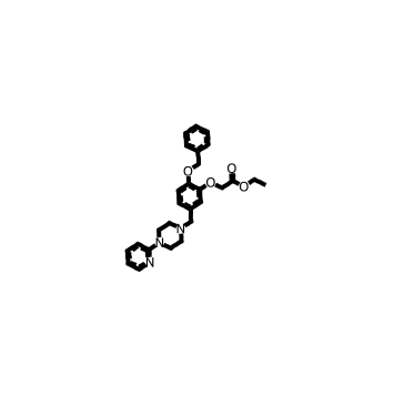 CCOC(=O)COc1cc(CN2CCN(c3ccccn3)CC2)ccc1OCc1ccccc1